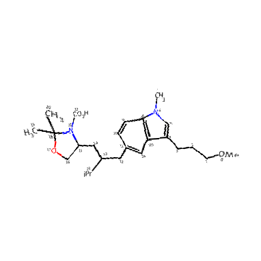 COCCCc1cn(C)c2ccc(CC(CC3COC(C)(C)N3C(=O)O)C(C)C)cc12